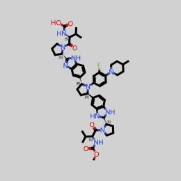 COC(=O)N[C@H](C(=O)N1CCC[C@H]1C1Nc2ccc([C@H]3CC[C@H](c4ccc5[nH]c([C@@H]6CCCN6C(=O)[C@@H](NC(=O)O)C(C)C)nc5c4)N3c3ccc(N4CCC(C)CC4)c(F)c3)cc2N1)C(C)C